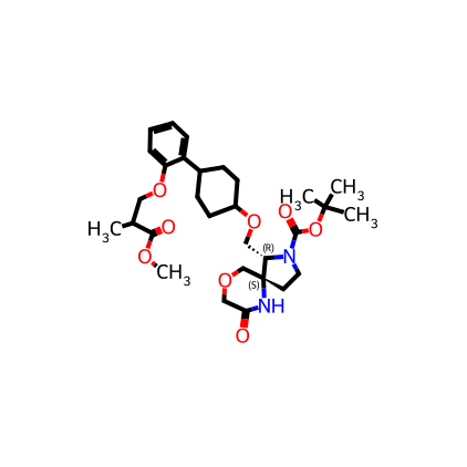 COC(=O)C(C)COc1ccccc1C1CCC(OC[C@@H]2N(C(=O)OC(C)(C)C)CC[C@@]23COCC(=O)N3)CC1